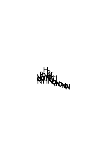 Cc1cc(Nc2ncc(Br)c(Nc3ccc4nccnc4c3P(C)C)n2)c(Cl)cc1N1CCC(N2CCN(C)CC2)CC1